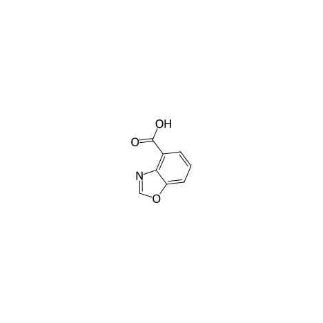 O=C(O)c1cccc2ocnc12